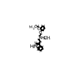 CCOc1ccccc1OCCNCCc1c[nH]c2ccccc12.Cl